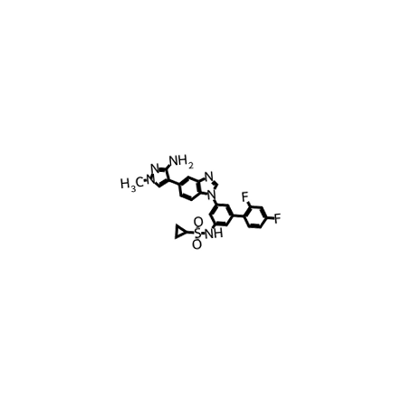 Cn1cc(-c2ccc3c(c2)ncn3-c2cc(NS(=O)(=O)C3CC3)cc(-c3ccc(F)cc3F)c2)c(N)n1